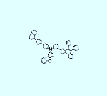 c1ccc(-c2c(-c3ccccc3)c3cc(-c4cccc(N(c5ccc(-c6ccc(-c7cccc8ccccc78)cc6)cc5)c5ccc6oc7ccccc7c6c5)c4)ccc3c3ccccc23)cc1